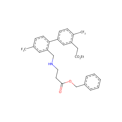 CCOC(=O)Cc1cc(-c2ccc(C(F)(F)F)cc2CNCCC(=O)OCc2ccccc2)ccc1C(F)(F)F